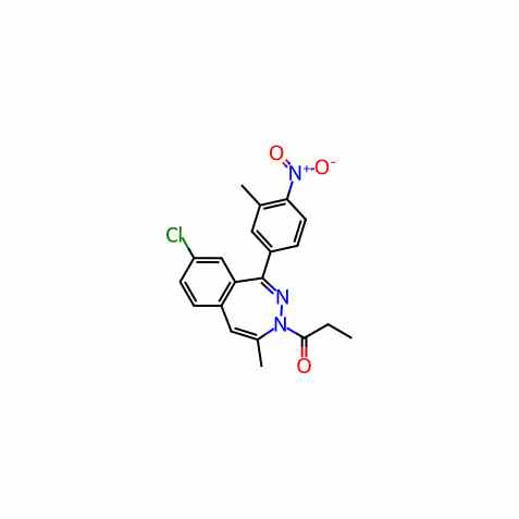 CCC(=O)N1N=C(c2ccc([N+](=O)[O-])c(C)c2)c2cc(Cl)ccc2C=C1C